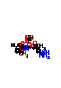 COC(=O)[C@H](CNC(=O)C[C@H]1C[C@@H](c2ccc(C(=N)N)cc2)N(C)C(=O)O1)NS(=O)(=O)c1ccccc1C.O=C(O)C(F)(F)F